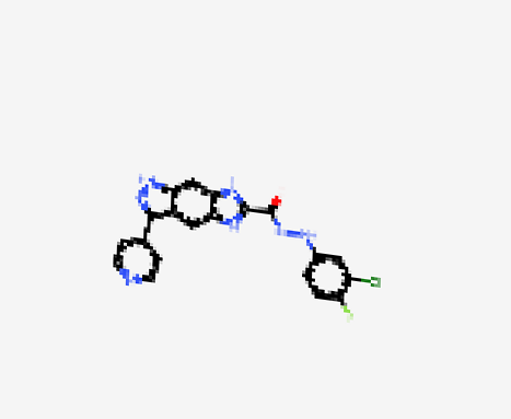 O=C(NNc1ccc(F)c(Cl)c1)c1nc2cc3c(-c4ccncc4)n[nH]c3cc2[nH]1